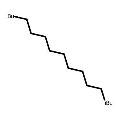 [CH2]CC(C)CCC[CH]CCCCCC(C)CC